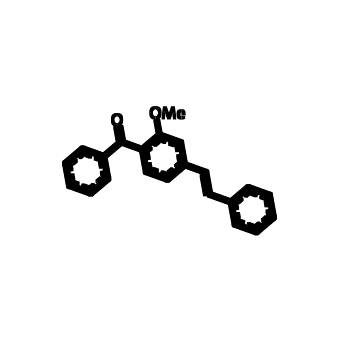 COc1cc(C=Cc2ccccc2)ccc1C(=O)c1ccccc1